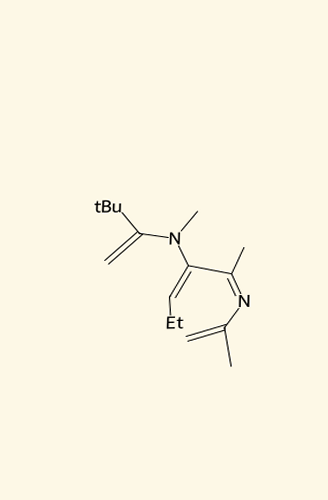 C=C(C)/N=C(C)\C(=C/CC)N(C)C(=C)C(C)(C)C